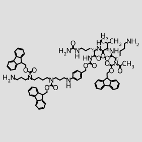 CC(=O)N(C(=O)OCC1c2ccccc2-c2ccccc21)[C@@H](CCCCN)C(=O)N[C@H](C(=O)N[C@@H](CCCNC(N)=O)C(=O)NC(=O)OCc1ccc(NCCCN(CCCCN(CCCN)C(=O)OCC2c3ccccc3-c3ccccc32)C(=O)OCC2c3ccccc3-c3ccccc32)cc1)C(C)C